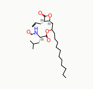 C=CC[C@@H]1C(=O)O[C@H]1CC(CCCCCCCCCCC)OC(=O)[C@H](CC(C)C)NC=O